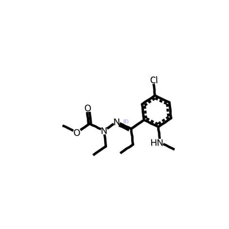 CC/C(=N\N(CC)C(=O)OC)c1cc(Cl)ccc1NC